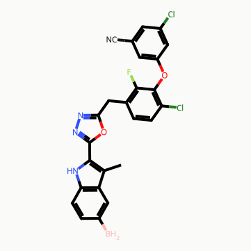 Bc1ccc2[nH]c(-c3nnc(Cc4ccc(Cl)c(Oc5cc(Cl)cc(C#N)c5)c4F)o3)c(C)c2c1